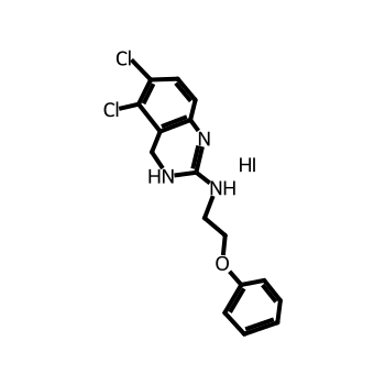 Clc1ccc2c(c1Cl)CNC(NCCOc1ccccc1)=N2.I